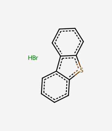 Br.c1ccc2c(c1)sc1ccccc12